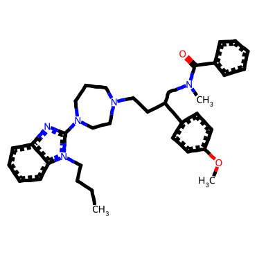 CCCCn1c(N2CCCN(CCC(CN(C)C(=O)c3ccccc3)c3ccc(OC)cc3)CC2)nc2ccccc21